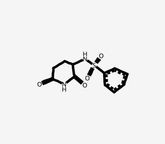 O=C1CCC(NS(=O)(=O)c2ccccc2)C(=O)N1